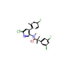 Cc1cc(F)ccc1-c1cc(Cl)ncc1N(C)C(=O)C(C)(C)c1cc(F)cc(F)c1